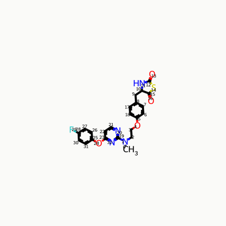 CN(CCOc1ccc(CC2NC(=O)SC2=O)cc1)c1nccc(Oc2ccc(F)cc2)n1